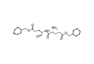 N[C@H](CCC(=O)OCc1ccccc1)C(=O)N[C@@H](C=O)CCC(=O)OCc1ccccc1